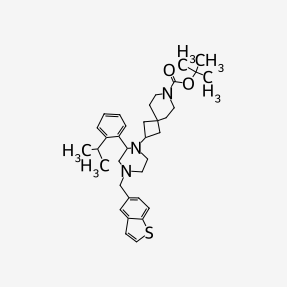 CC(C)c1ccccc1C1CN(Cc2ccc3sccc3c2)CCN1C1CC2(CCN(C(=O)OC(C)(C)C)CC2)C1